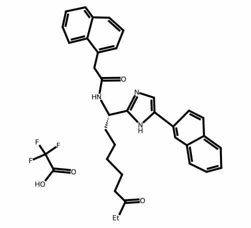 CCC(=O)CCCCC[C@H](NC(=O)Cc1cccc2ccccc12)c1ncc(-c2ccc3ccccc3c2)[nH]1.O=C(O)C(F)(F)F